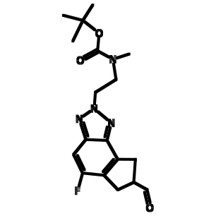 CN(CCn1nc2cc(F)c3c(c2n1)CC(C=O)C3)C(=O)OC(C)(C)C